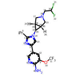 CC(C)c1nc(-c2cnc(N)c(OC(F)(F)F)c2)cn1[C@H]1[C@@H]2CN(CC(F)F)C[C@@H]21